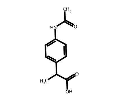 CC(=O)Nc1ccc(C(C)C(=O)O)cc1